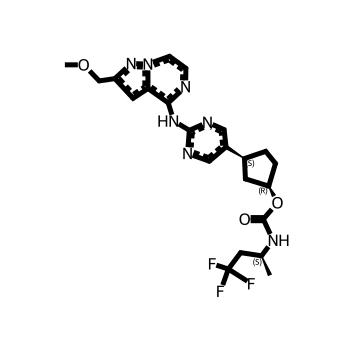 COCc1cc2c(Nc3ncc([C@H]4CC[C@@H](OC(=O)N[C@@H](C)CC(F)(F)F)C4)cn3)nccn2n1